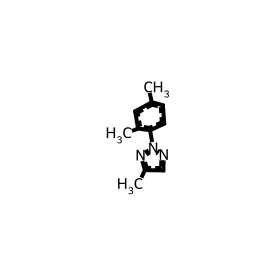 Cc1ccc(-n2ncc(C)n2)c(C)c1